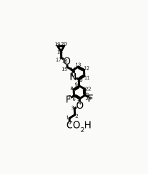 O=C(O)CCCOc1c(F)cc(-c2cccc(COCC3CC3)n2)cc1F